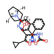 O=c1[nH]c(-c2ccc(N3[C@@H]4CC[C@H]3CC(OCc3c(-c5ccccc5OC(F)(F)F)noc3C3CC3)C4)nc2)no1